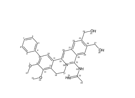 COc1c(-c2ccccc2)cc2c(c1OC)CC[n+]1c-2cc2cc(CO)c(CO)cc2c1NC(C)=N